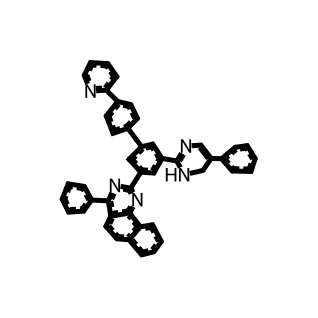 C1=C(c2ccccc2)CNC(c2cc(-c3ccc(-c4ccccn4)cc3)cc(-c3nc(-c4ccccc4)c4ccc5ccccc5c4n3)c2)=N1